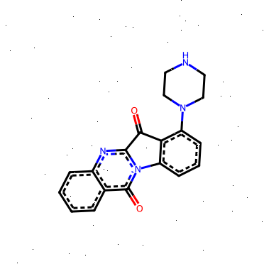 O=C1c2c(N3CCNCC3)cccc2-n2c1nc1ccccc1c2=O